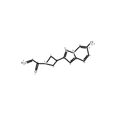 C=CC(=O)N1CC(c2cc3ccc(C(F)(F)F)cn3n2)C1